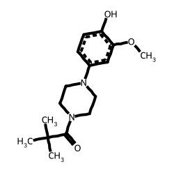 COc1cc(N2CCN(C(=O)C(C)(C)C)CC2)ccc1O